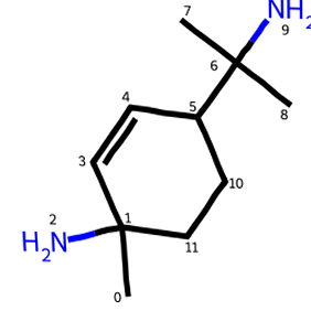 CC1(N)C=CC(C(C)(C)N)CC1